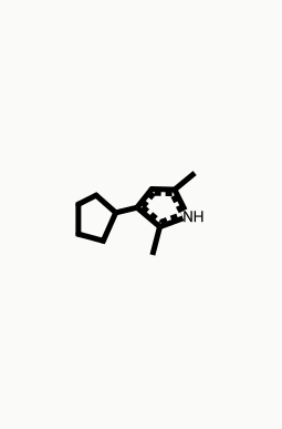 Cc1cc(C2CCCC2)c(C)[nH]1